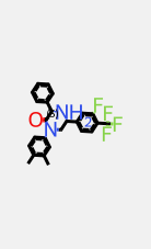 Cc1ccc(N(CCc2ccc(C(F)(F)F)c(F)c2)C(=O)[C@@H](N)c2ccccc2)cc1C